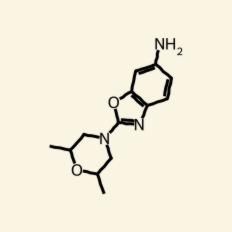 CC1CN(c2nc3ccc(N)cc3o2)CC(C)O1